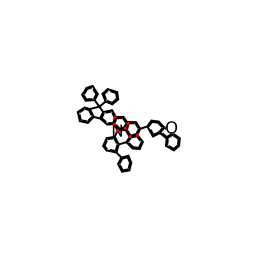 c1ccc(-c2ccccc2-c2c(-c3ccccc3)cccc2N(c2ccc(-c3ccc4oc5ccccc5c4c3)cc2)c2ccc3c(c2)-c2ccccc2C3(c2ccccc2)c2ccccc2)cc1